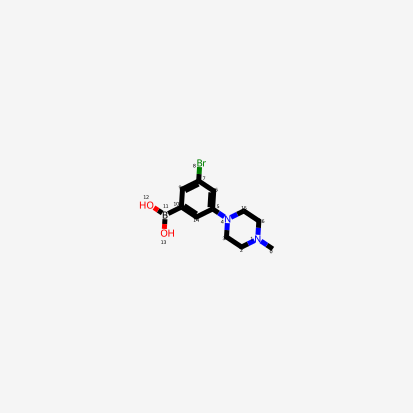 CN1CCN(c2cc(Br)cc(B(O)O)c2)CC1